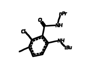 CCCNC(=O)c1c(NC(C)(C)C)ccc(C)c1Cl